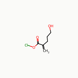 C=C(CCCO)C(=O)OCl